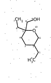 CCC1CCC(CC)(CO)OC1